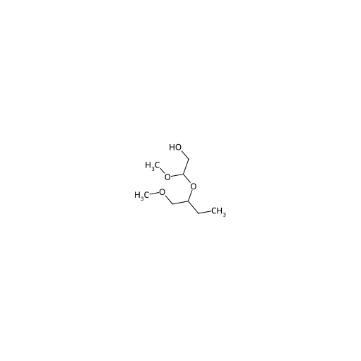 CCC(COC)OC(CO)OC